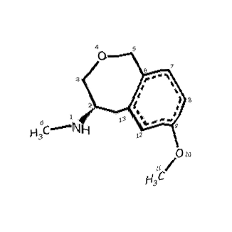 CN[C@H]1COCc2ccc(OC)cc21